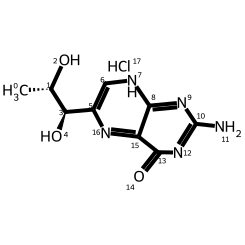 C[C@H](O)[C@H](O)c1c[nH]c2nc(N)nc(=O)c-2n1.Cl